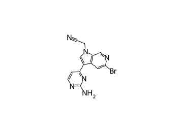 N#CCn1cc(-c2ccnc(N)n2)c2cc(Br)ncc21